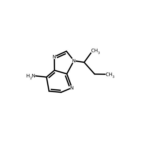 CCC(C)n1cnc2c(N)ccnc21